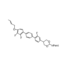 C/C=C/COc1ccc(-c2ccc(-c3ccc(C4COC(CCCCC)OC4)cc3F)cc2)c(F)c1F